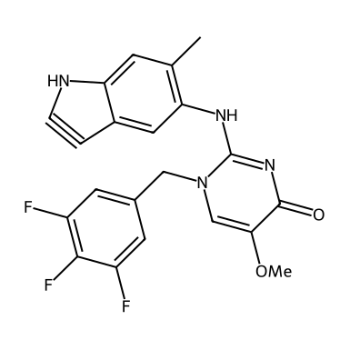 COc1cn(Cc2cc(F)c(F)c(F)c2)c(Nc2cc3c#c[nH]c3cc2C)nc1=O